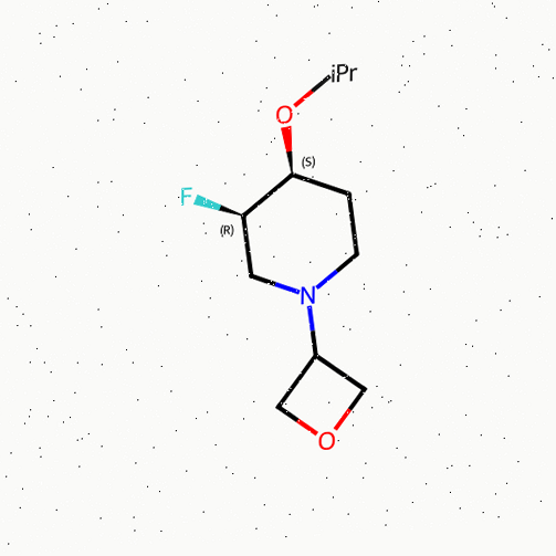 CC(C)O[C@H]1CCN(C2COC2)C[C@H]1F